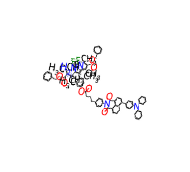 C=C(C)/C(C(=O)OCc1ccccc1)=C(/C)C1=C(c2c(C)cc(OC(=O)CCCc3ccc(N4C(=O)c5cccc6c(-c7ccc(N(c8ccccc8)c8ccccc8)cc7)ccc(c56)C4=O)cc3)cc2C)c2c(C)c(C(=O)OCc3ccccc3)c(C)n2[B-](F)(F)[NH2+]1